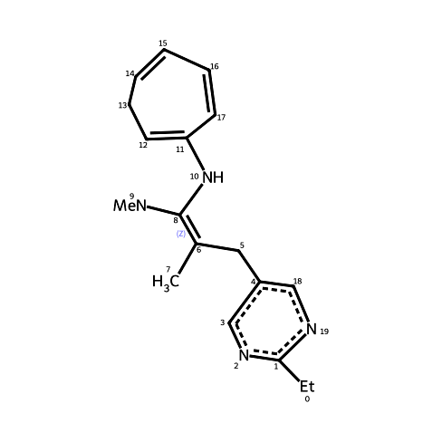 CCc1ncc(C/C(C)=C(/NC)NC2=CCC=CC=C2)cn1